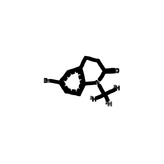 [2H]C([2H])([2H])N1C(=O)CCc2cc(Br)ccc21